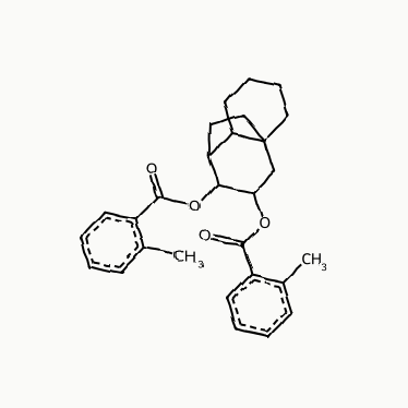 Cc1ccccc1C(=O)OC1CC23CCCCC2C(CC3)C1OC(=O)c1ccccc1C